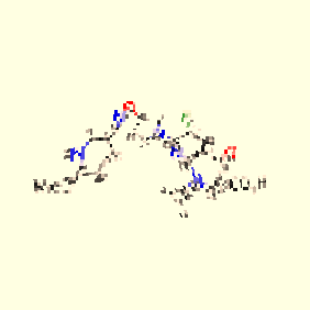 COC1=NCC(C2=NOC3CN(c4nc5c(cc4F)c(=O)c(C(=O)O)cn5C4CC4)CC23)C=C1